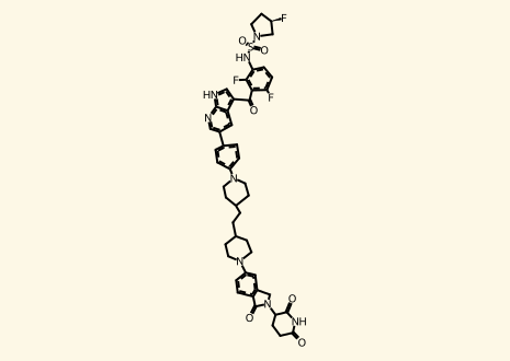 O=C1CCC(N2Cc3cc(N4CCC(CCC5CCN(c6ccc(-c7cnc8[nH]cc(C(=O)c9c(F)ccc(NS(=O)(=O)N%10CC[C@@H](F)C%10)c9F)c8c7)cc6)CC5)CC4)ccc3C2=O)C(=O)N1